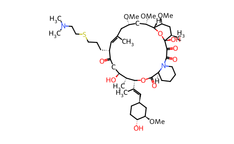 CO[C@H]1C/C(C)=C/[C@@H](CCCSCCN(C)C)C(=O)C[C@H](O)[C@@H](C)[C@@H](/C(C)=C/[C@@H]2CC[C@@H](O)[C@H](OC)C2)OC(=O)[C@@H]2CCCCN2C(=O)C(=O)[C@]2(O)O[C@H]([C@@H](OC)C1)[C@@H](OC)C[C@H]2C